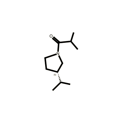 CC(C)C(=O)N1CC[C@@H](C(C)C)C1